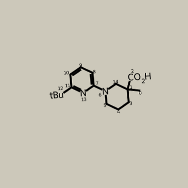 CC1(C(=O)O)CCCN(c2cccc(C(C)(C)C)n2)C1